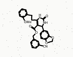 COc1ccccc1CCC1=C(C(=O)OCc2cccc(C#N)c2)C(c2ccc3c(c2)OCO3)NC(=O)N1